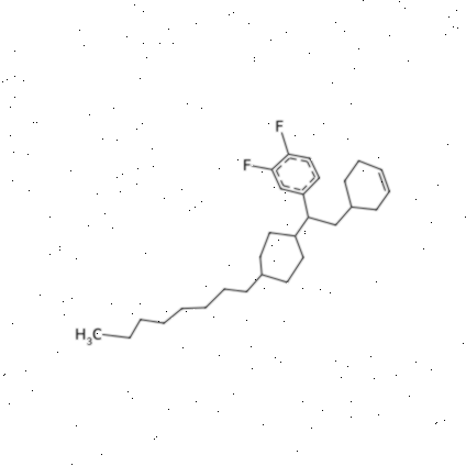 CCCCCCCCC1CCC(C(CC2CC=CCC2)c2ccc(F)c(F)c2)CC1